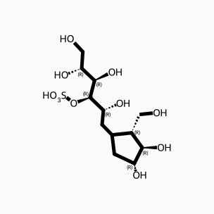 O=S(=O)(O)O[C@@H]([C@H](O)[C@H](O)CO)[C@H](O)CC1C[C@@H](O)[C@H](O)[C@H]1CO